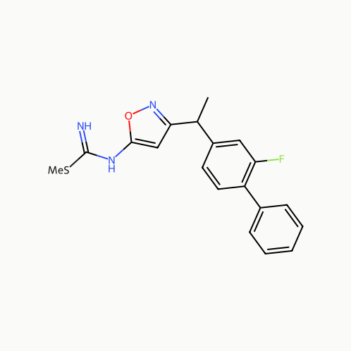 CSC(=N)Nc1cc(C(C)c2ccc(-c3ccccc3)c(F)c2)no1